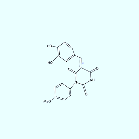 COc1ccc(N2C(=O)NC(=O)/C(=C/c3ccc(O)c(O)c3)C2=O)cc1